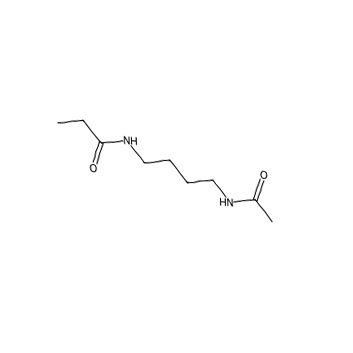 CCC(=O)NCCCCNC(C)=O